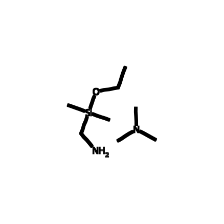 CCO[Si](C)(C)CN.CN(C)C